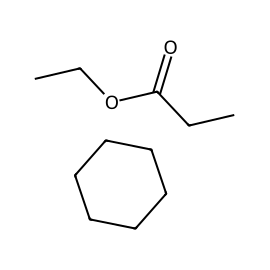 C1CCCCC1.CCOC(=O)CC